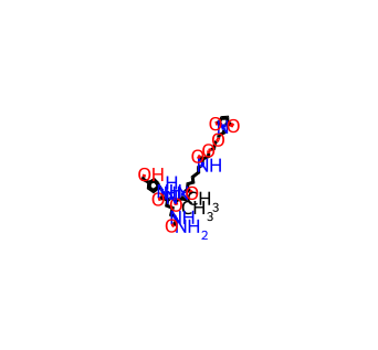 CC(C)C(NC(=O)CCCCCNC(=O)COCCOCCN1C(=O)C=CC1=O)C(=O)NC(CCCNC(N)=O)C(=O)Nc1ccc(CO)cc1